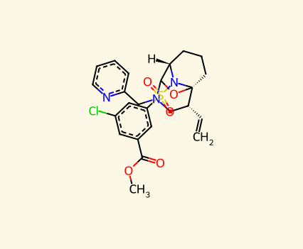 C=C[C@@H]1CN(Cc2ccccn2)C2O[C@]13CCC[C@@H]2N3S(=O)(=O)c1cc(Cl)cc(C(=O)OC)c1